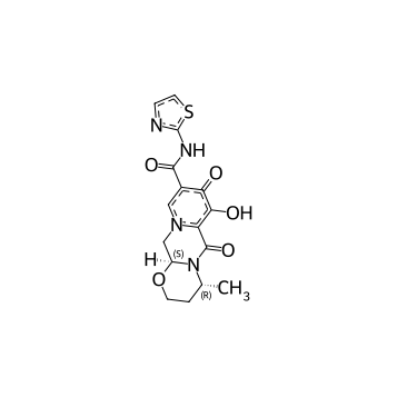 C[C@@H]1CCO[C@H]2Cn3cc(C(=O)Nc4nccs4)c(=O)c(O)c3C(=O)N12